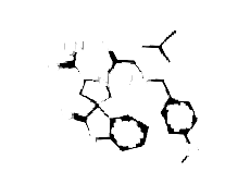 COc1ccc(CN[C@@H](CC(C)C)C(=O)N2C[C@]3(C[C@H]2C(N)=O)C(=O)Nc2ccccc23)cc1